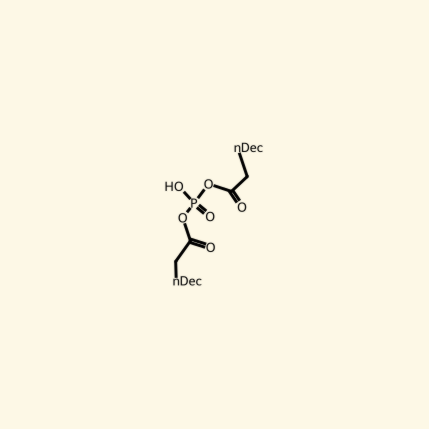 CCCCCCCCCCCC(=O)OP(=O)(O)OC(=O)CCCCCCCCCCC